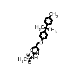 Cc1ccc(C(C)(C)c2ccc(OCc3cnc(NS(C)(=O)=O)nc3)cc2)cc1